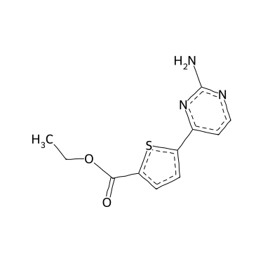 CCOC(=O)c1ccc(-c2ccnc(N)n2)s1